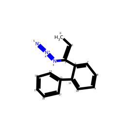 CC=C(N=[N+]=[N-])c1ccccc1-c1ccccc1